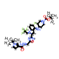 CC(C)(C)OC(=O)N1CC[C@@H](Nc2cccc3c2cc(-c2noc(CNC(=O)c4ccn(C(C)(C)C)c4)n2)n3CC(F)(F)F)[C@@H](F)C1